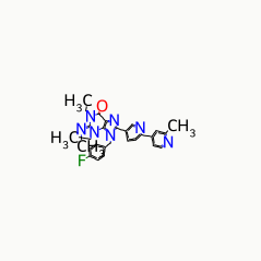 CCN1C(=O)c2nc(-c3ccc(-c4ccnc(C)c4)nc3)n(Cc3ccc(F)cc3)c2N2CC(C)(C)N=C12